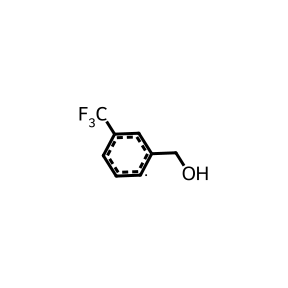 OCc1[c]ccc(C(F)(F)F)c1